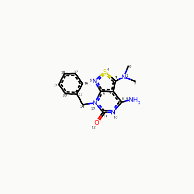 CN(C)c1snc2c1c(N)nc(=O)n2Cc1ccccc1